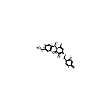 Cc1cc(OCc2ccc(F)cc2F)c(Br)c(=O)n1C(C)c1ccc(CO)cc1